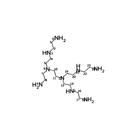 NCCNCCN(CCN)CCN(CCNCCN)CCNCCN